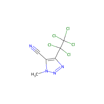 Cn1nnc(C(Cl)(Cl)C(Cl)(Cl)Cl)c1C#N